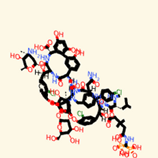 CN[C@H](CC(C)C)C(=O)N[C@H]1C(=O)N[C@@H](CC(N)=O)C(=O)N[C@H]2C(=O)N[C@H]3C(=O)N[C@H](C(=O)N[C@H](C(=O)O)c4cc(O)cc(O)c4-c4cc3ccc4O)[C@H](O[C@H]3C[C@](C)(N)[C@@H](O)[C@H](C)O3)c3ccc(c(Cl)c3)Oc3cc2cc(c3O[C@@H]2O[C@H](CO)[C@@H](O)[C@H](O)[C@H]2O[C@H]2C[C@](C)(NCc3ccc(-c4ccc(Cl)cc4)cc3)[C@@H](O)[C@H](C)O2)Oc2ccc(cc2Cl)[C@H]1OC(=O)CC(C)(C)CC(=O)NC(P(=O)(O)O)P(=O)(O)O